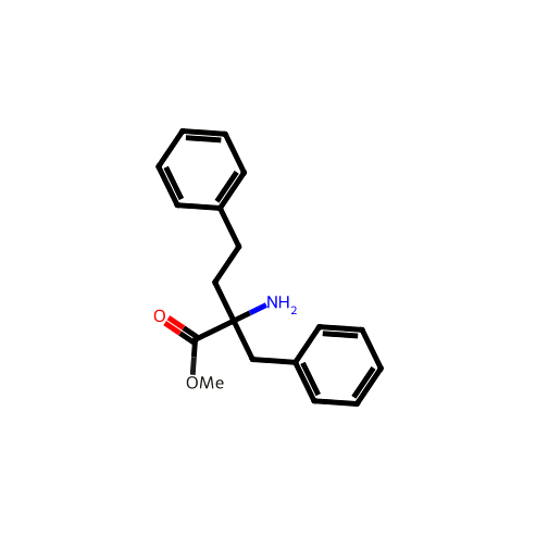 COC(=O)C(N)(CCc1ccccc1)Cc1ccccc1